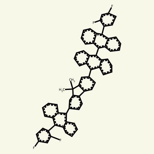 CC1(C)c2cc(-c3c4ccccc4c(-c4ccc(F)cc4F)c4ccccc34)ccc2-c2ccc(-c3c4ccccc4c(-c4c5ccccc5c(-c5ccc(F)cc5F)c5ccccc45)c4ccccc34)cc21